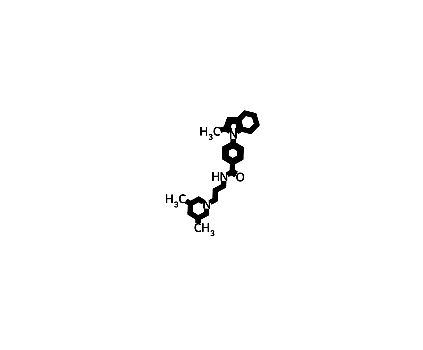 Cc1cc2c(n1-c1ccc(C(=O)NCCCN3CC(C)CC(C)C3)cc1)CCCC2